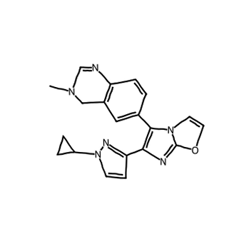 CN1C=Nc2ccc(-c3c(-c4ccn(C5CC5)n4)nc4occn34)cc2C1